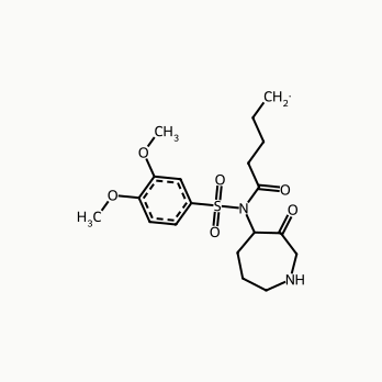 [CH2]CCCC(=O)N(C1CCCNCC1=O)S(=O)(=O)c1ccc(OC)c(OC)c1